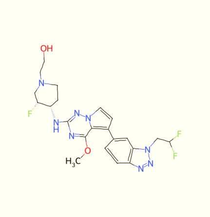 COc1nc(N[C@H]2CCN(CCO)C[C@H]2F)nn2ccc(-c3ccc4nnn(CC(F)F)c4c3)c12